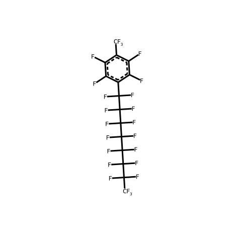 Fc1c(F)c(C(F)(F)C(F)(F)C(F)(F)C(F)(F)C(F)(F)C(F)(F)C(F)(F)C(F)(F)F)c(F)c(F)c1C(F)(F)F